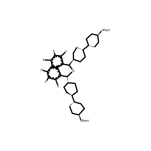 CCCCC[C@H]1CC[C@H]([C@H]2CC[C@H](C(OC(c3ccc(F)c(F)c3F)[C@H]3CC[C@H]([C@H]4CC[C@H](CCCCC)CC4)CC3)c3ccc(F)c(F)c3F)CC2)CC1